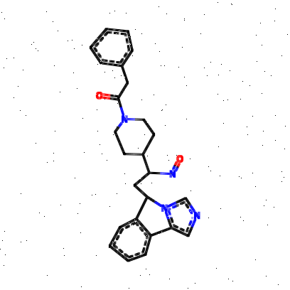 O=NC(CC1c2ccccc2-c2cncn21)C1CCN(C(=O)Cc2ccccc2)CC1